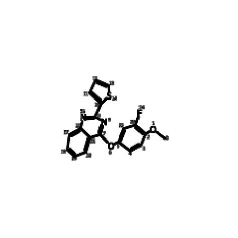 COc1ccc(Oc2nc(-c3cccs3)nc3ccccc23)cc1F